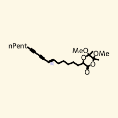 CCCCCC#CC#C/C=C/CCCCCC1OC(C)(OC)C(C)(OC)OC1=O